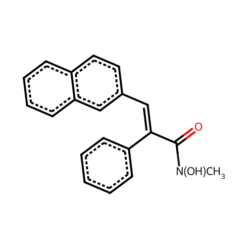 CN(O)C(=O)C(=Cc1ccc2ccccc2c1)c1ccccc1